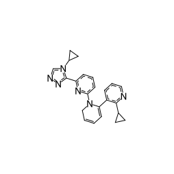 C1=CCN(c2cccc(-c3nncn3C3CC3)n2)C(c2cccnc2C2CC2)=C1